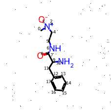 C[N+](C)([O-])CCNC(=O)C(N)Cc1ccccc1